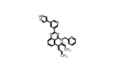 C=C/C=C(\C=C/C)c1cccc2nc(-c3cncc(-c4cn[nH]c4)c3)nc(NCc3ccccn3)c12